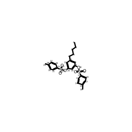 CCCCCc1cc(OS(=O)(=O)c2ccc(C)cc2)cc(OS(=O)(=O)c2ccc(C)cc2)c1